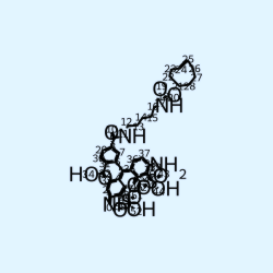 N=c1ccc2c(-c3cc(C(=O)NCCCCCNC(=O)OC4CC/C=C/CCC4)ccc3C(=O)O)c3ccc(N)c(S(=O)(=O)O)c3oc-2c1S(=O)(=O)O